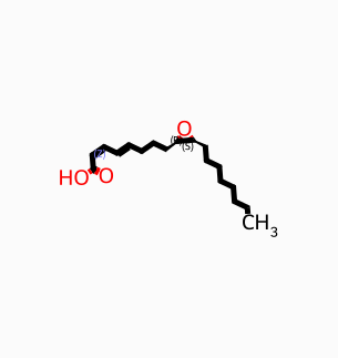 CCCCCCCC[C@@H]1O[C@@H]1CCCC=C/C=C\C(=O)O